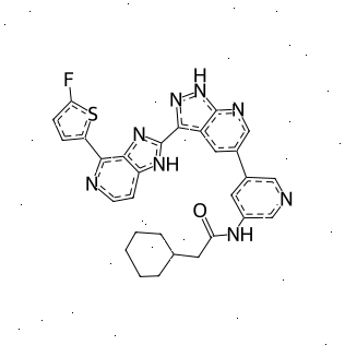 O=C(CC1CCCCC1)Nc1cncc(-c2cnc3[nH]nc(-c4nc5c(-c6ccc(F)s6)nccc5[nH]4)c3c2)c1